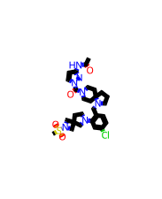 CC(=O)Nc1ccn(C(=O)N2CCC3(CCCN3Cc3ccc(Cl)cc3N3CCC4(C3)CN(S(C)(=O)=O)C4)CC2)n1